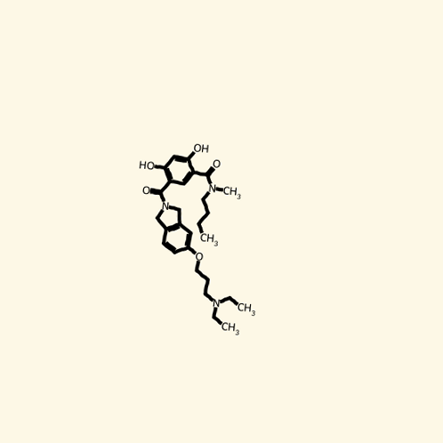 CCCCN(C)C(=O)c1cc(C(=O)N2Cc3ccc(OCCCN(CC)CC)cc3C2)c(O)cc1O